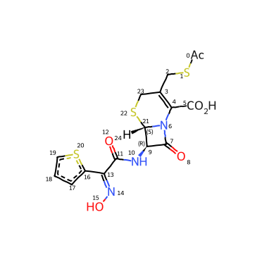 CC(=O)SCC1=C(C(=O)O)N2C(=O)[C@@H](NC(=O)C(=NO)c3cccs3)[C@@H]2SC1